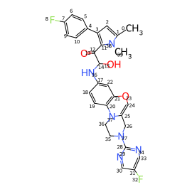 Cc1cc(-c2ccc(F)cc2)c(C(=O)C(O)Nc2ccc3c(c2)OC=C2CN(c4ncc(F)cn4)CCN23)n1C